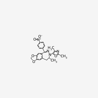 Cc1nc(C)c(N2N=C(c3ccc([N+](=O)[O-])cc3)c3cc4c(cc3CC2C)OCO4)o1